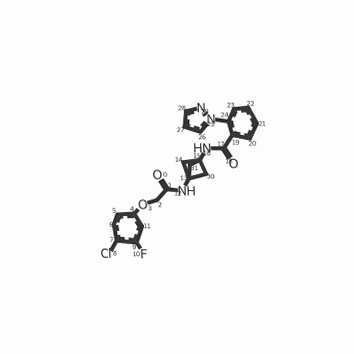 O=C(COc1ccc(Cl)c(F)c1)NC12CC(NC(=O)c3ccccc3-n3cccn3)(C1)C2